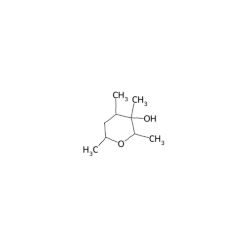 CC1CC(C)C(C)(O)C(C)O1